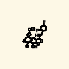 CCOC1CC2(C1)CN(C)C(=O)c1c(O)c(=O)c(C(=O)NCc3ccc(F)cc3F)cn12